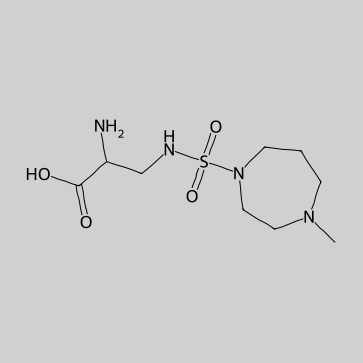 CN1CCCN(S(=O)(=O)NCC(N)C(=O)O)CC1